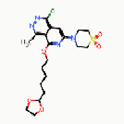 Cc1nnc(Cl)c2cc(N3CCS(=O)(=O)CC3)nc(OCCCCCC3OCCO3)c12